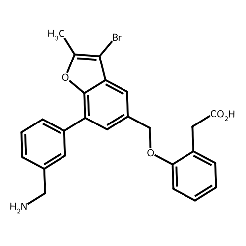 Cc1oc2c(-c3cccc(CN)c3)cc(COc3ccccc3CC(=O)O)cc2c1Br